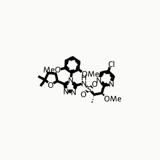 COc1cccc(OC)c1-n1c(NS(=O)(=O)[C@@H](C)[C@H](OC)c2ncc(Cl)cn2)nnc1C1CCC(C)(C)O1